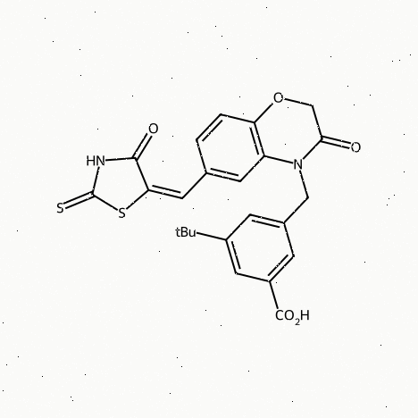 CC(C)(C)c1cc(CN2C(=O)COc3ccc(/C=C4/SC(=S)NC4=O)cc32)cc(C(=O)O)c1